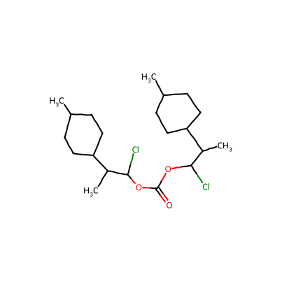 CC1CCC(C(C)C(Cl)OC(=O)OC(Cl)C(C)C2CCC(C)CC2)CC1